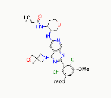 C=CC(=O)N[C@H]1CCOC[C@H]1Nc1cc2c(N3CC4(COC4)C3)nc(-c3c(Cl)c(OC)cc(OC)c3Cl)nc2cn1